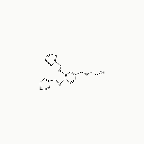 OCCOCc1ccc(OCc2ccccc2)c(OCc2ccccc2)c1